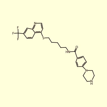 O=C(NCCCCCSc1ccnc2cc(C(F)(F)F)ccc12)c1ccc(N2CCNCC2)cc1